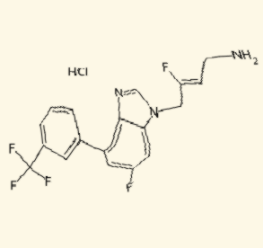 Cl.NC/C=C(\F)Cn1cnc2c(-c3cccc(C(F)(F)F)c3)cc(F)cc21